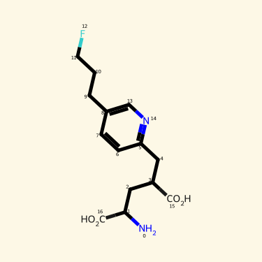 NC(CC(Cc1ccc(CCCF)cn1)C(=O)O)C(=O)O